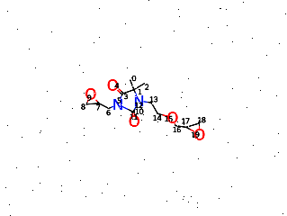 CC1(C)C(=O)N(CC2CO2)C(=O)N1CCOCC1CO1